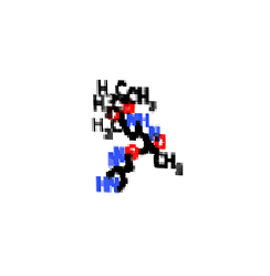 Cc1onc(C2=CNC(C)(C(=O)OC(C)(C)C)C=C2)c1COc1cc2c(nn1)CNCC2